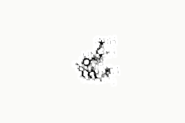 CN(Cc1cnc2nc(N)nc(N)c2n1)c1ccc(C(=O)NC(CCC(=O)O)C(=O)O)cc1.CNN